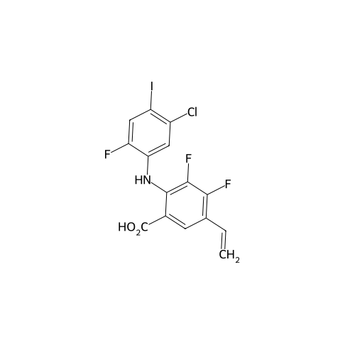 C=Cc1cc(C(=O)O)c(Nc2cc(Cl)c(I)cc2F)c(F)c1F